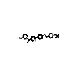 CC(C)(I)CN1CCC(COc2ccc(-c3ccc(C(=O)N4CCC[C@@H](O)C4)cn3)cc2)CC1